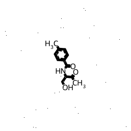 CC(=O)C(CO)NC(=O)c1ccc(C)cc1